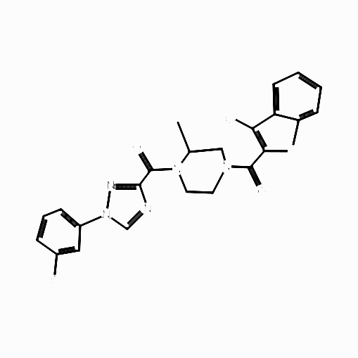 CC1CN(C(=O)c2sc3ccccc3c2Cl)CCN1C(=O)c1ncn(-c2cccc(Cl)c2)n1